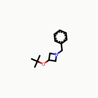 CC(C)(C)OC1CN(Cc2ccccc2)C1